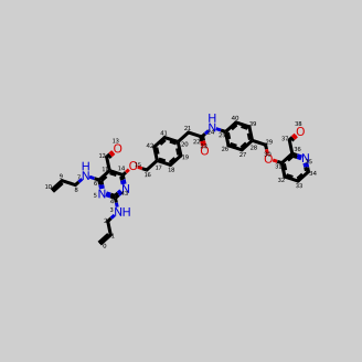 C=CCNc1nc(NCC=C)c(C=O)c(OCc2ccc(CC(=O)Nc3ccc(COc4cccnc4C=O)cc3)cc2)n1